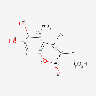 Cc1c(CC(=O)O)c(=O)oc2cc(O)c(O)c([N+](=O)[O-])c12